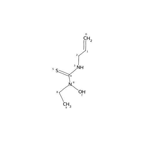 C=CCNC(=S)N(O)CC